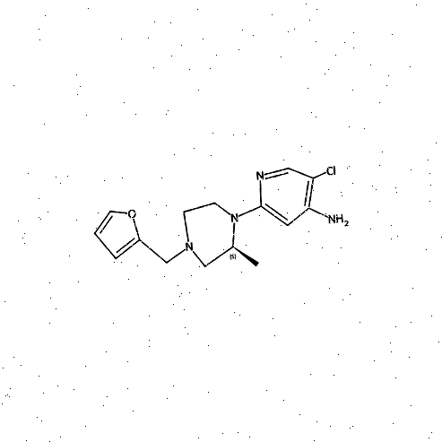 C[C@H]1CN(Cc2ccco2)CCN1c1cc(N)c(Cl)cn1